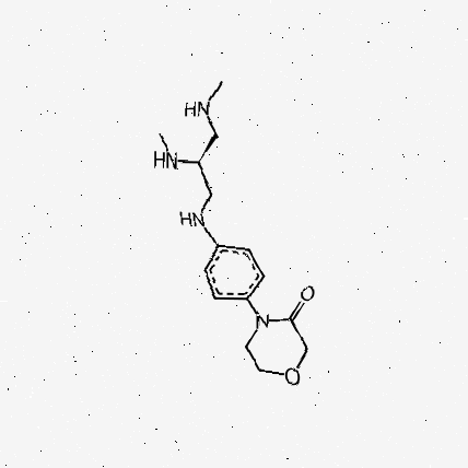 CNC[C@@H](CNc1ccc(N2CCOCC2=O)cc1)NC